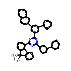 CC1(C)c2ccccc2-c2c(-c3nc(-c4cccc(-c5ccccc5)c4)nc(-c4cc(-c5ccccc5)cc(-c5ccc6ccccc6c5)c4)n3)cccc21